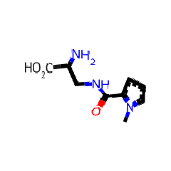 Cn1cccc1C(=O)NCC(N)C(=O)O